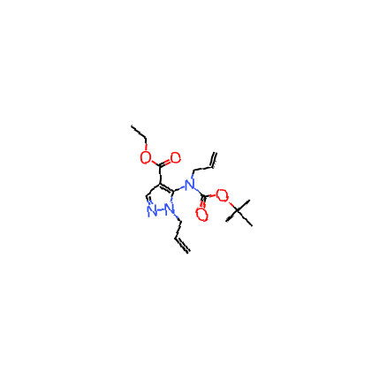 C=CCN(C(=O)OC(C)(C)C)c1c(C(=O)OCC)cnn1CC=C